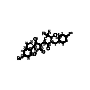 C[C@H](N(Cc1ccc(F)cc1)C(=O)CN1C(=O)N(O)[C@]2(CCc3cc(Br)ccc32)C1=O)C(F)(F)F